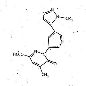 Cc1cc(C(=O)O)nn(-c2cncc(-c3cnnn3C)c2)c1=O